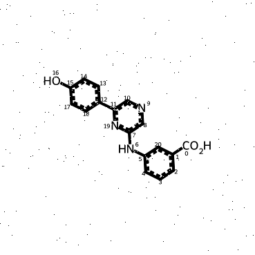 O=C(O)c1cccc(Nc2cncc(-c3ccc(O)cc3)n2)c1